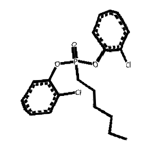 CCCCCCP(=O)(Oc1ccccc1Cl)Oc1ccccc1Cl